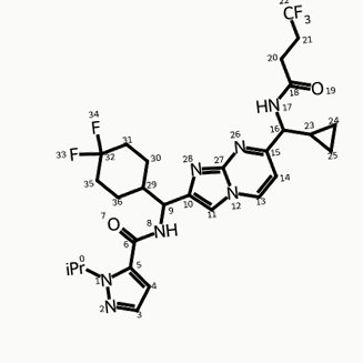 CC(C)n1nccc1C(=O)NC(c1cn2ccc(C(NC(=O)CCC(F)(F)F)C3CC3)nc2n1)C1CCC(F)(F)CC1